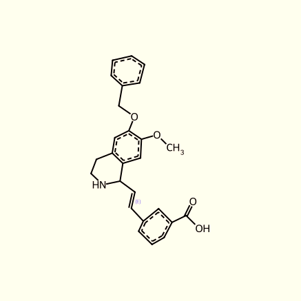 COc1cc2c(cc1OCc1ccccc1)CCNC2/C=C/c1cccc(C(=O)O)c1